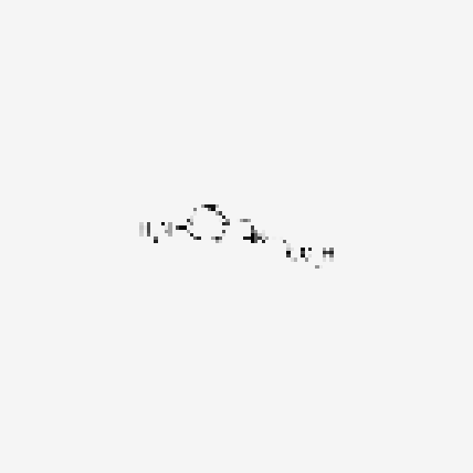 Nc1ccc(CNCC(=O)O)cc1